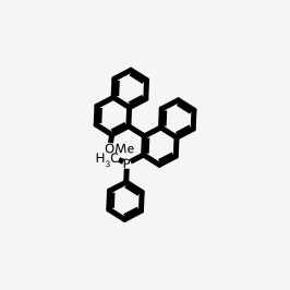 COc1ccc2ccccc2c1-c1c(P(C)c2ccccc2)ccc2ccccc12